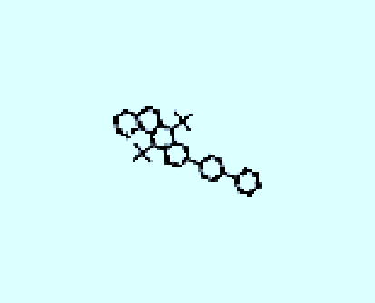 CC(C)(C)c1c2cc(-c3ccc(-c4ccccc4)cc3)ccc2c(C(C)(C)C)c2c1ccc1cccnc12